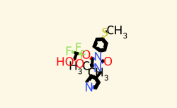 CSc1ccc(N2C(=O)N(Cc3ccncc3)C(C)(C)C2=O)cc1.O=C(O)C(F)(F)F